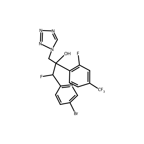 OC(Cn1cnnn1)(c1ccc(C(F)(F)F)cc1F)C(F)c1ccc(Br)cn1